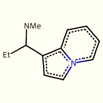 CCC(NC)c1ccn2ccccc12